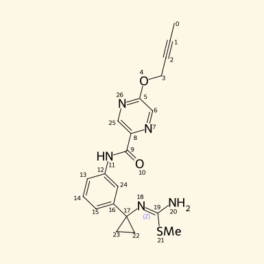 CC#CCOc1cnc(C(=O)Nc2cccc(C3(/N=C(/N)SC)CC3)c2)cn1